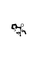 CCN(C(=O)c1cccs1)N(C)C